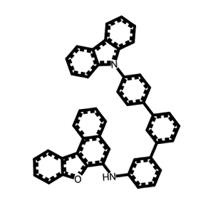 c1cc(Nc2cc3ccccc3c3c2oc2ccccc23)cc(-c2cccc(-c3ccc(-n4c5ccccc5c5ccccc54)cc3)c2)c1